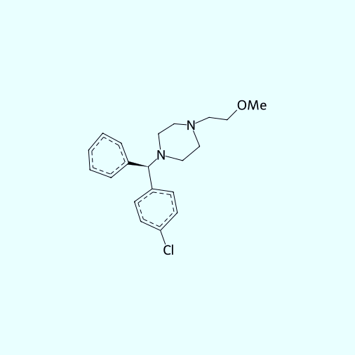 COCCN1CCN([C@H](c2ccccc2)c2ccc(Cl)cc2)CC1